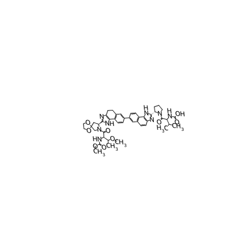 COC(=O)NC(C(=O)N1CC2(C[C@H]1c1nc3c([nH]1)-c1ccc(-c4ccc5c(ccc6nc([C@@H]7CCCN7C(=O)C(NC(=O)O)C(C)C)[nH]c65)c4)cc1CC3)OCCO2)C(C)OC